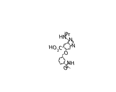 CC(C)Nc1ncnc2cc(OCc3cccc(S(C)(=N)=O)c3)c(C(=O)O)cc12